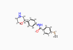 CCSc1ccc(C(=O)Nc2ccc([C@@H]3CNCCO3)cc2)cc1